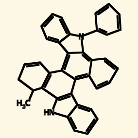 CC1CC=Cc2c1c1[nH]c3ccccc3c1c1c3ccccc3c3c(c4ccccc4n3-c3ccccc3)c21